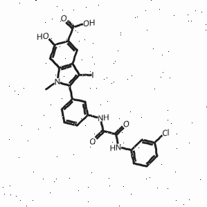 Cn1c(-c2cccc(NC(=O)C(=O)Nc3cccc(Cl)c3)c2)c(I)c2cc(C(=O)O)c(O)cc21